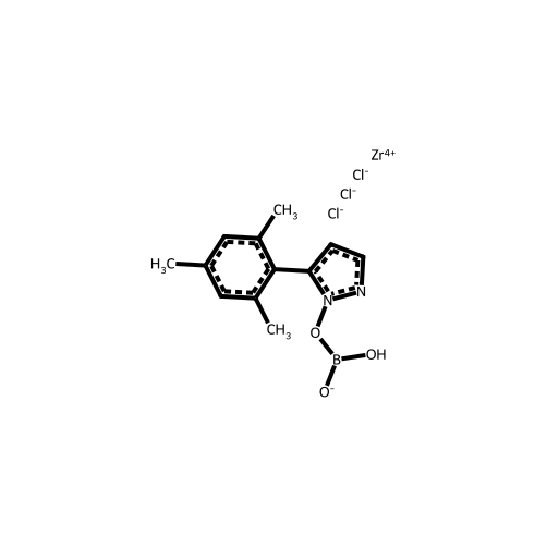 Cc1cc(C)c(-c2ccnn2OB([O-])O)c(C)c1.[Cl-].[Cl-].[Cl-].[Zr+4]